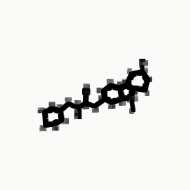 Cn1c2ccc(F)cc2c2ccc(CC(=O)NCc3ccccc3)cc21